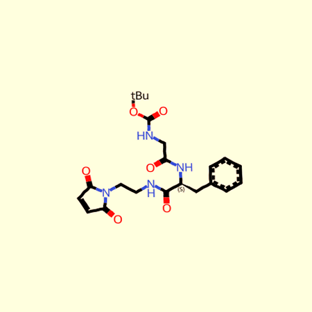 CC(C)(C)OC(=O)NCC(=O)N[C@@H](Cc1ccccc1)C(=O)NCCN1C(=O)C=CC1=O